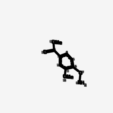 COC(=O)c1ccc(ON)c(OC)c1